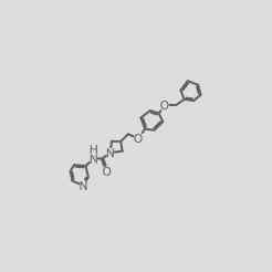 O=C(Nc1cccnc1)N1CC(COc2ccc(OCc3ccccc3)cc2)C1